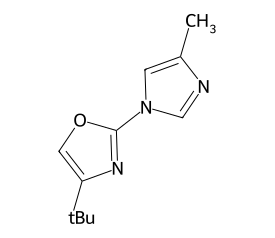 Cc1cn(-c2nc(C(C)(C)C)co2)cn1